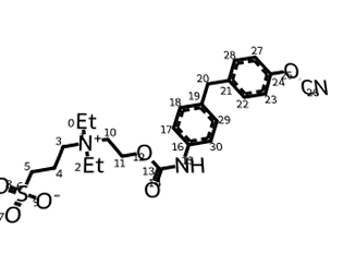 CC[N+](CC)(CCCS(=O)(=O)[O-])CCOC(=O)Nc1ccc(Cc2ccc(OC#N)cc2)cc1